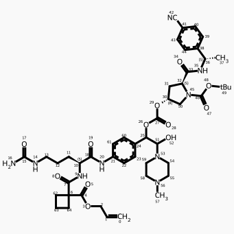 C=CCOC(=O)C1(C(=O)N[C@@H](CCCNC(N)=O)C(=O)Nc2ccc(C(OC(=O)O[C@@H]3C[C@@H](C(=O)N[C@@H](C)c4ccc(C#N)cc4)N(C(=O)OC(C)(C)C)C3)C(O)N3CCN(C)CC3)cc2)CCC1